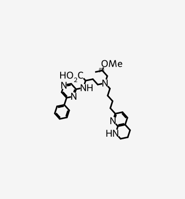 CO[C@H](C)CN(CCCCc1ccc2c(n1)NCCC2)CCC(Nc1cncc(-c2ccccc2)n1)C(=O)O